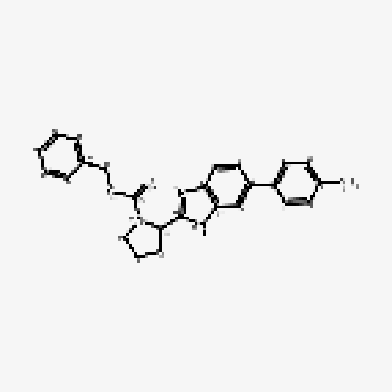 Nc1ccc(-c2ccc3nc(C4CCCN4C(=O)OCc4ccccc4)[nH]c3c2)cc1